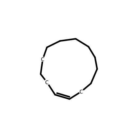 C1=C\CCCCCCCCCCC/1